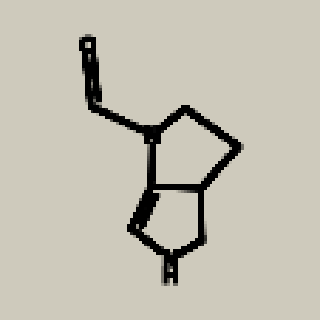 O=CN1CCC2CNC=C21